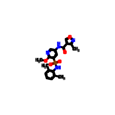 COc1ncc(NC(=O)c2conc2C)cc1S(=O)(=O)Nc1c(C)cccc1C